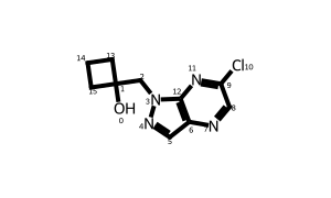 OC1(Cn2ncc3ncc(Cl)nc32)CCC1